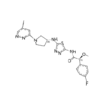 CO[C@H](C(=O)Nc1nnc(N[C@@H]2CCN(c3cc(C)cnn3)C2)s1)c1ccc(F)cc1